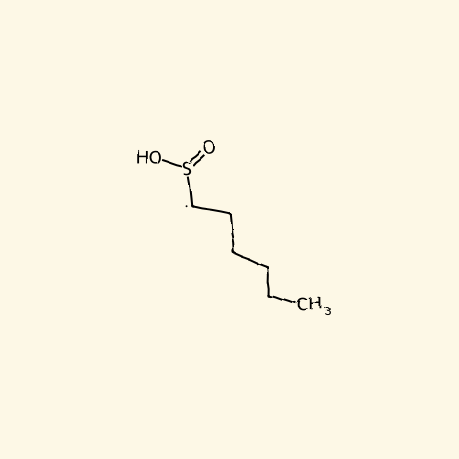 CCCCC[CH]S(=O)O